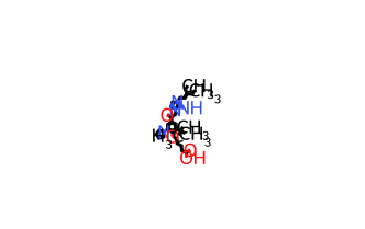 CCC(=CCn1ccn(CC(=O)c2cc(N3CCCC3)c(OCCCCC(=O)O)c(C(C)(C)C)c2)c1=N)CC